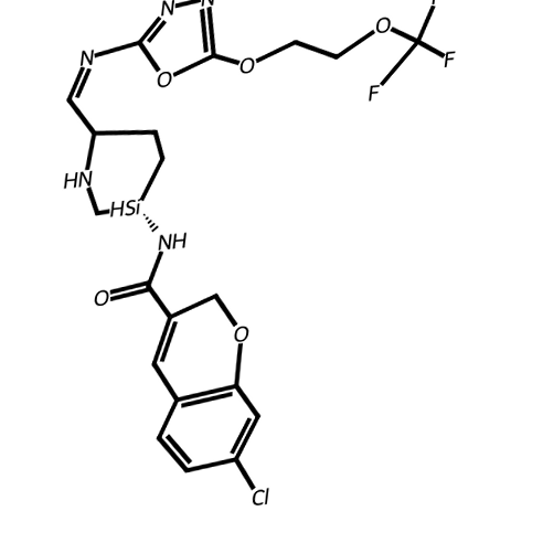 O=C(N[Si@H]1CCC(/C=N\c2nnc(OCCOC(F)(F)F)o2)NC1)C1=Cc2ccc(Cl)cc2OC1